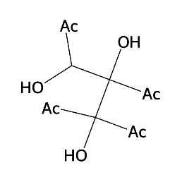 CC(=O)C(O)C(O)(C(C)=O)C(O)(C(C)=O)C(C)=O